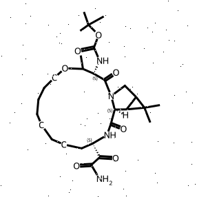 CC1OCCCCCCCC[C@@H](C(=O)C(N)=O)NC(=O)[C@@H]2C3C(CN2C(=O)[C@H]1NC(=O)OC(C)(C)C)C3(C)C